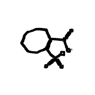 O=[N+]([O-])/C1=C(\S(=O)(=O)Cl)CCCCCC1